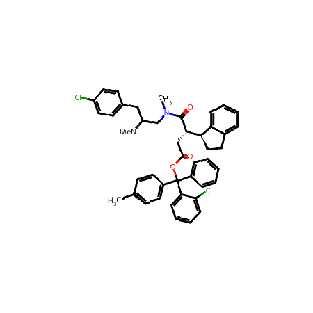 CNC(Cc1ccc(Cl)cc1)CN(C)C(=O)[C@@H](CC(=O)OC(c1ccccc1)(c1ccc(C)cc1)c1ccccc1Cl)[C@@H]1CCc2ccccc21